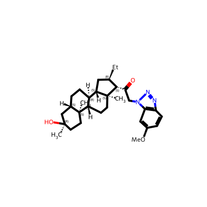 CC[C@@H]1C[C@H]2[C@@H]3CC[C@H]4C[C@](C)(O)CC[C@]4(C)[C@H]3CC[C@]2(C)[C@H]1C(=O)Cn1nnc2ccc(OC)cc21